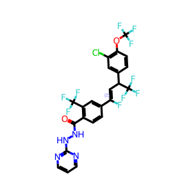 O=C(NNc1ncccn1)c1ccc(/C(F)=C/C(c2ccc(OC(F)(F)F)c(Cl)c2)C(F)(F)F)cc1C(F)(F)F